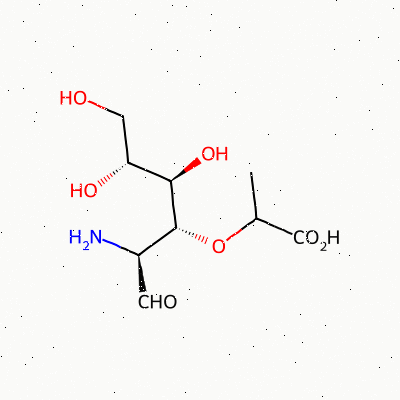 CC(O[C@@H]([C@H](O)[C@H](O)CO)[C@H](N)C=O)C(=O)O